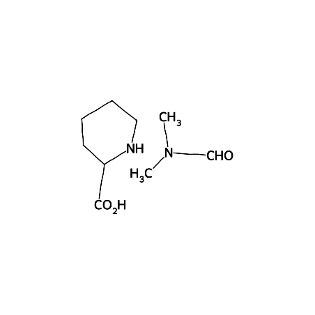 CN(C)C=O.O=C(O)C1CCCCN1